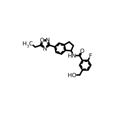 CCc1nc(-c2ccc3c(c2)CCC3NC(=O)c2cc(CO)ccc2F)no1